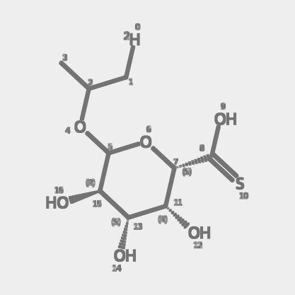 [2H]CC(C)OC1O[C@H](C(O)=S)[C@H](O)[C@H](O)[C@H]1O